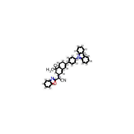 CC1(C)C/C(=C(/C#N)c2nc3ccccc3o2)C=C2C=C(c3ccc(-n4c5ccccc5c5ccccc54)cc3)CCC21